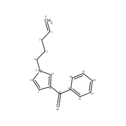 C=CCCCn1ccc(C(=O)c2ccccc2)c1